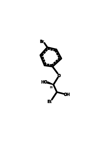 CCC(O)[C@@H](O)Oc1ccc(Br)cc1